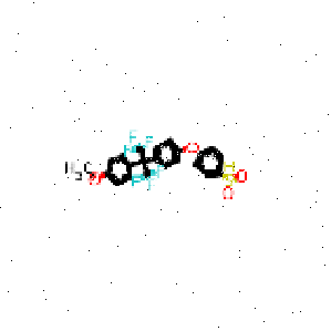 COc1ccc(C(c2ccc(Oc3ccc([SH](=O)=O)cc3)cc2)(C(F)(F)F)C(F)(F)F)cc1